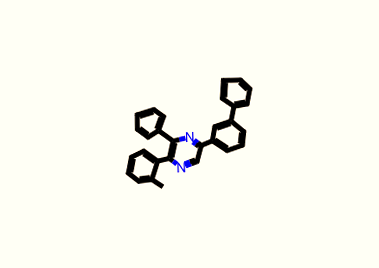 Cc1ccccc1-c1ncc(-c2cccc(-c3ccccc3)c2)nc1-c1ccccc1